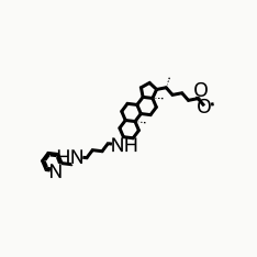 COC(=O)CCC[C@@H](C)C1CCC2C3CCC4C[C@@H](NCCCCNCc5ccccn5)CC[C@]4(C)C3CC[C@@]21C